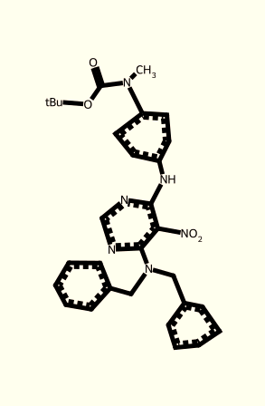 CN(C(=O)OC(C)(C)C)c1ccc(Nc2ncnc(N(Cc3ccccc3)Cc3ccccc3)c2[N+](=O)[O-])cc1